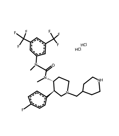 CN(C(=O)N(C)[C@@H]1CCN(CC2CCNCC2)C[C@H]1c1ccc(F)cc1)c1cc(C(F)(F)F)cc(C(F)(F)F)c1.Cl.Cl